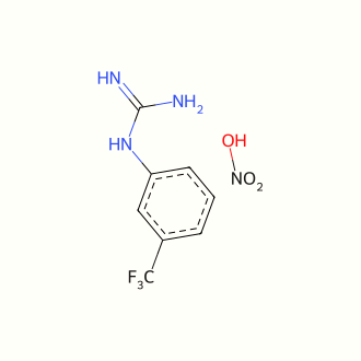 N=C(N)Nc1cccc(C(F)(F)F)c1.O=[N+]([O-])O